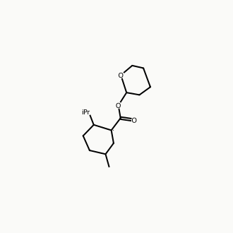 CC1CCC(C(C)C)[C](C(=O)OC2CCCCO2)C1